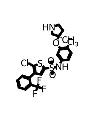 C[C@@]1(Oc2cc(NS(=O)(=O)c3cc(-c4ccccc4C(F)(F)F)c(Cl)s3)ccc2Cl)CCNC1